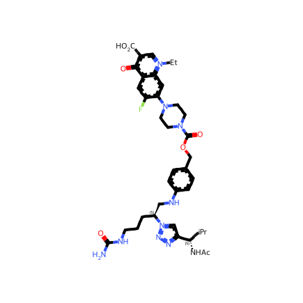 CCn1cc(C(=O)O)c(=O)c2cc(F)c(N3CCN(C(=O)OCc4ccc(NC[C@H](CCCNC(N)=O)n5cc([C@@H](NC(C)=O)C(C)C)nn5)cc4)CC3)cc21